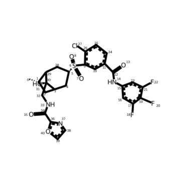 C[C@H]1CC2C[C@@H](S(=O)(=O)c3cc(C(=O)Nc4cc(F)c(F)c(F)c4)ccc3Cl)CC1[C@@]2(O)CNC(=O)c1ncco1